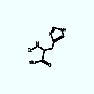 CCNC(Cc1c[nH]cn1)C(=O)C(C)(C)C